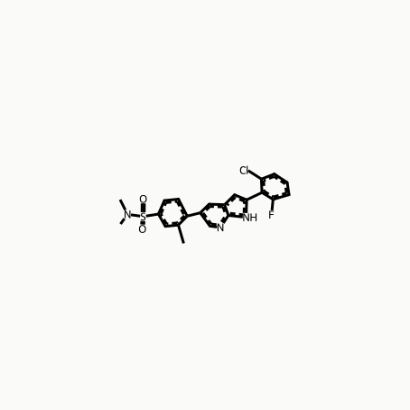 Cc1cc(S(=O)(=O)N(C)C)ccc1-c1cnc2[nH]c(-c3c(F)cccc3Cl)cc2c1